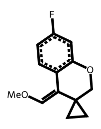 CO/C=C1\c2ccc(F)cc2OCC12CC2